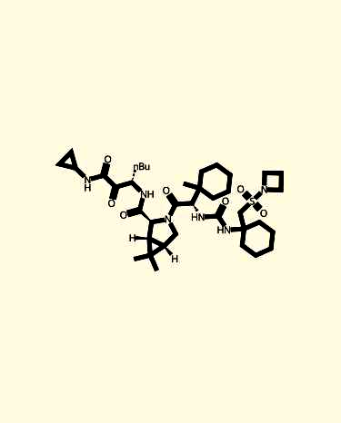 CCCC[C@H](NC(=O)[C@@H]1[C@@H]2[C@H](CN1C(=O)[C@@H](NC(=O)NC1(CS(=O)(=O)N3CCC3)CCCCC1)C1(C)CCCCC1)C2(C)C)C(=O)C(=O)NC1CC1